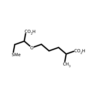 CSCC(OCCCC(C)C(=O)O)C(=O)O